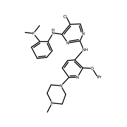 CC(C)Oc1nc(N2CCN(C)CC2)ccc1Nc1ncc(Cl)c(Nc2ccccc2P(C)C)n1